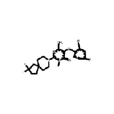 Cn1c(N2CCC3(CC2)CCC(F)(F)C3)nc(N)c(Sc2ccc(F)cc2Cl)c1=O